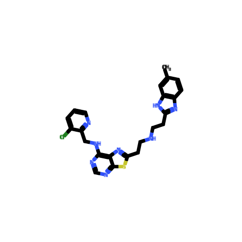 Cc1ccc2nc(CCNCCc3nc4c(NCc5ncccc5Cl)ncnc4s3)[nH]c2c1